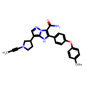 CC#CN1CCC(c2cnn3c(C(N)=O)c(-c4ccc(Oc5ccc(OC)cc5)cc4)[nH]c23)C1